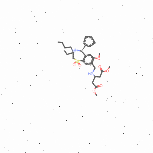 CCCC[C@]1(CC)CS(=O)(=O)c2cc(CNC(CC(=O)OC)CC(=O)OC)c(OC)cc2[C@H](c2ccccc2)N1